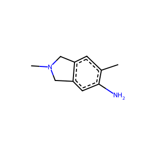 Cc1cc2c(cc1N)CN(C)C2